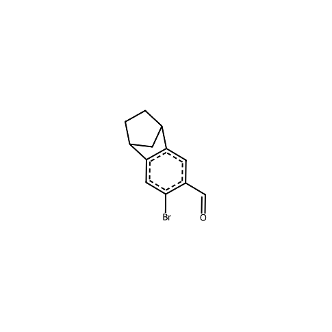 O=Cc1cc2c(cc1Br)C1CCC2C1